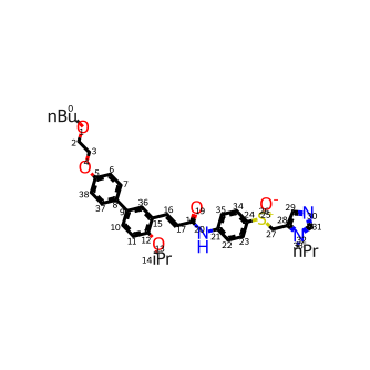 CCCCOCCOc1ccc(-c2ccc(OC(C)C)c(/C=C/C(=O)Nc3ccc([S+]([O-])Cc4cncn4CCC)cc3)c2)cc1